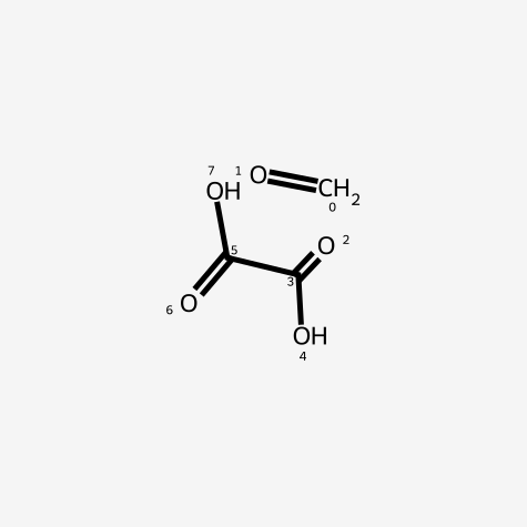 C=O.O=C(O)C(=O)O